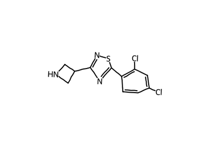 Clc1ccc(-c2nc(C3CNC3)ns2)c(Cl)c1